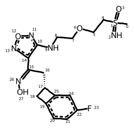 CS(=N)(=O)CCOCCNc1nonc1/C(C[C@H]1Cc2ccc(F)cc21)=N/O